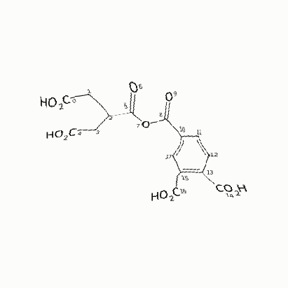 O=C(O)CC(CC(=O)O)C(=O)OC(=O)c1ccc(C(=O)O)c(C(=O)O)c1